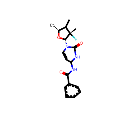 CC[C@H]1O[C@@H](N2C=CC(NC(=O)c3ccccc3)NC2=O)[C@@](C)(F)C1C